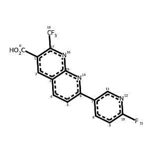 O=C(O)c1cc2ccc(-c3ccc(F)nc3)nc2nc1C(F)(F)F